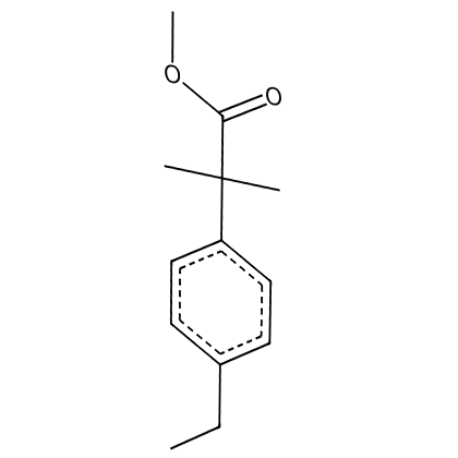 CCc1ccc(C(C)(C)C(=O)OC)cc1